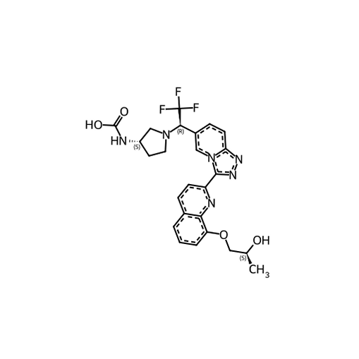 C[C@H](O)COc1cccc2ccc(-c3nnc4ccc([C@@H](N5CC[C@H](NC(=O)O)C5)C(F)(F)F)cn34)nc12